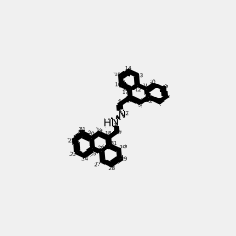 [CH](NN=Cc1cc2ccccc2c2ccccc12)c1cc2ccccc2c2ccccc12